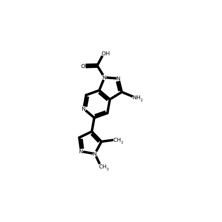 Cc1c(-c2cc3c(N)nn(C(=O)O)c3cn2)cnn1C